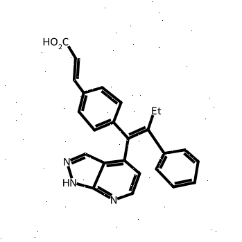 CCC(=C(c1ccc(C=CC(=O)O)cc1)c1ccnc2[nH]ncc12)c1ccccc1